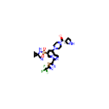 N#CC1(NS(=O)(=O)c2cc(N3CCN(C(=O)[C@@H]4CCNC4)CC3)c3cnc(-c4nnc(C(F)(F)F)s4)n3c2)CC1